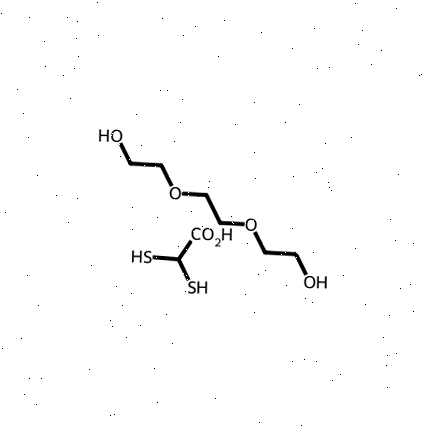 O=C(O)C(S)S.OCCOCCOCCO